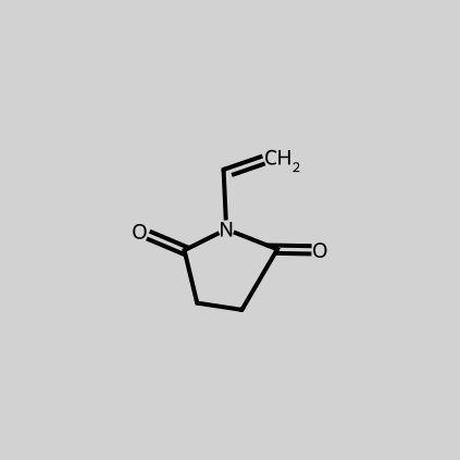 C=CN1C(=O)CCC1=O